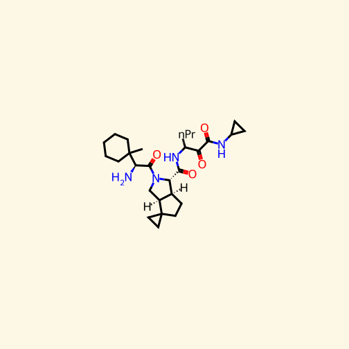 CCCC(NC(=O)[C@@H]1[C@H]2CCC3(CC3)[C@H]2CN1C(=O)[C@@H](N)C1(C)CCCCC1)C(=O)C(=O)NC1CC1